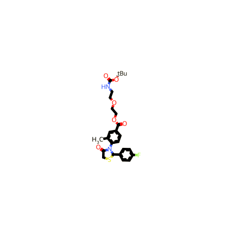 Cc1cc(C(=O)OCCOCCNC(=O)OC(C)(C)C)ccc1N1C(=O)CSC1c1ccc(F)cc1